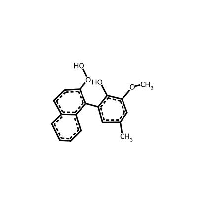 COc1cc(C)cc(-c2c(OO)ccc3ccccc23)c1O